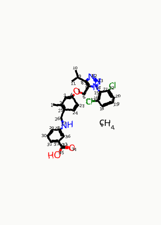 C.Cc1cc(OCc2c(C(C)C)nnn2-c2c(Cl)cccc2Cl)ccc1CNc1cccc(C(=O)O)c1